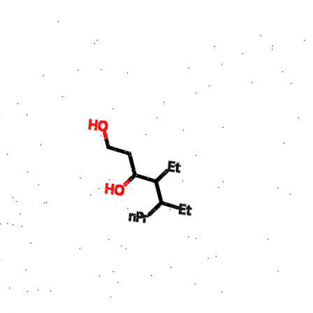 CCCC(CC)C(CC)C(O)CCO